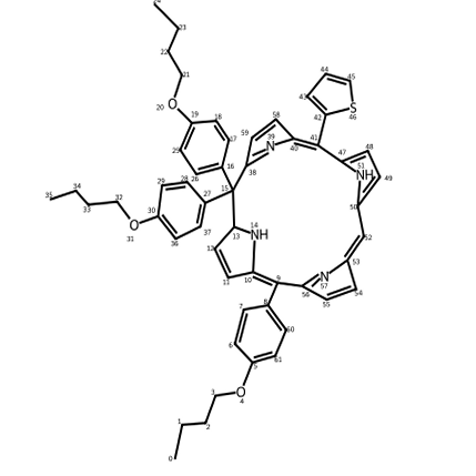 CCCCOc1ccc(C2=C3C=CC(N3)C(c3ccc(OCCCC)cc3)(c3ccc(OCCCC)cc3)C3=NC(=C(c4cccs4)c4ccc([nH]4)C=C4C=CC2=N4)C=C3)cc1